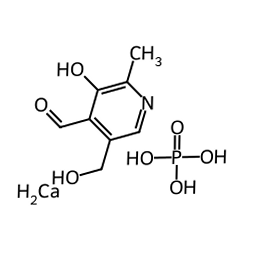 Cc1ncc(CO)c(C=O)c1O.O=P(O)(O)O.[CaH2]